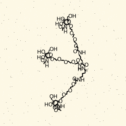 CC(=O)N[C@@H]1[C@@H](O)[C@@H](O)[C@@H](CO)C[C@H]1OCCOCCOCCOCC(=O)NCCCC[C@@H](C)NC(=O)[C@H](CCCCNC(=O)COCCOCCOCCO[C@@H]1O[C@H](CO)[C@H](O)[C@H](O)[C@H]1NC(C)=O)NC(=O)COCCOCCOCCO[C@@H]1O[C@H](CO)[C@H](O)[C@H](O)[C@H]1NC(C)=O